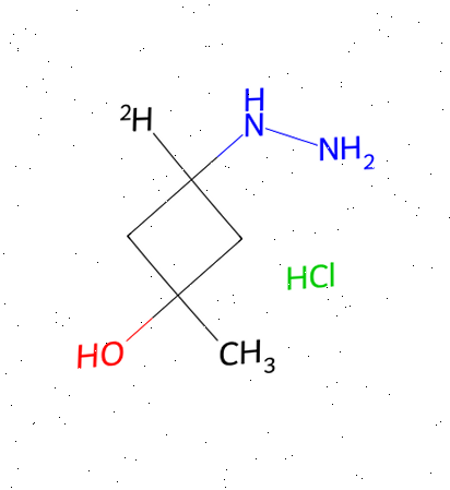 Cl.[2H]C1(NN)CC(C)(O)C1